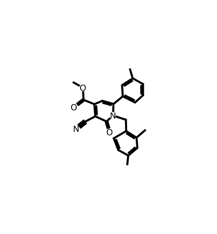 COC(=O)c1cc(-c2cccc(C)c2)n(Cc2ccc(C)cc2C)c(=O)c1C#N